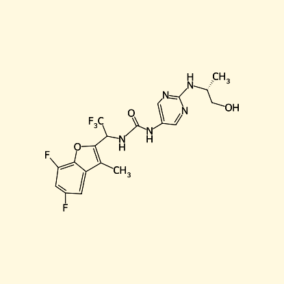 Cc1c(C(NC(=O)Nc2cnc(N[C@H](C)CO)nc2)C(F)(F)F)oc2c(F)cc(F)cc12